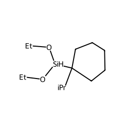 CCO[SiH](OCC)C1(C(C)C)CCCCC1